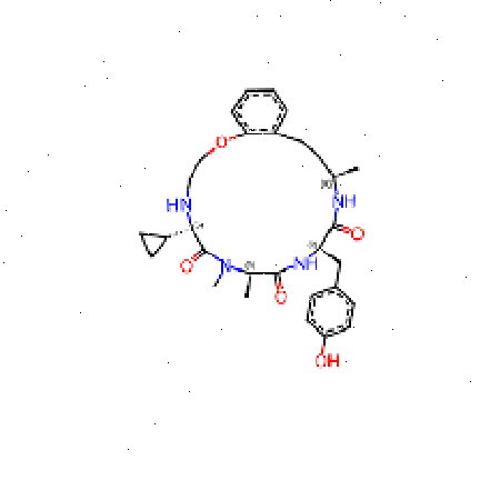 C[C@@H]1CCc2ccccc2OCCN[C@@H](C2CC2)C(=O)N(C)[C@H](C)C(=O)N[C@H](Cc2ccc(O)cc2)C(=O)N1